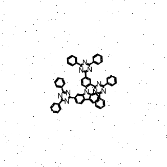 c1ccc(-c2nc(-c3ccccc3)nc(-c3ccc(-n4c5ccccc5c5ccc(-c6nc(-c7ccccc7)nc(-c7ccccc7)n6)cc54)c(-c4nc(-c5ccccc5)nc(-c5ccccc5)n4)c3)n2)cc1